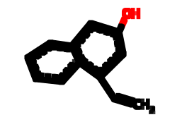 C=Cc1cc(O)cc2ccccc12